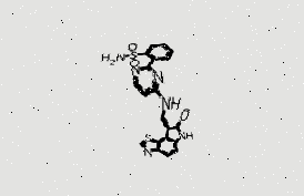 NS(=O)(=O)c1ccccc1-c1nccc(NC=C2C(=O)Nc3ccc4ncsc4c32)n1